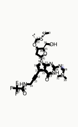 CSS[C@@H](C)OC1C[C@H](n2cc(C#CCNC(=O)C(F)(F)F)c3c(=O)[nH]c(/N=C\N(C)C)nc32)O[C@@H]1CO